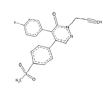 C#CCn1ncc(-c2ccc(S(C)(=O)=O)cc2)c(-c2ccc(F)cc2)c1=O